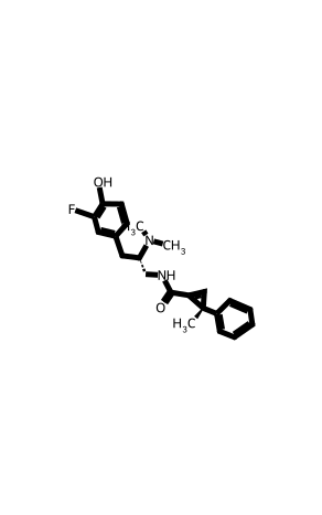 CN(C)[C@H](CNC(=O)C1=C[C@]1(C)c1ccccc1)Cc1ccc(O)c(F)c1